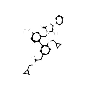 C[C@H]1[C@@H](c2ccccc2)OC(=O)N1Cc1cc(C(F)(F)F)ccc1-c1cc(CC(=O)OCC2CC2)ccc1OCC1CC1